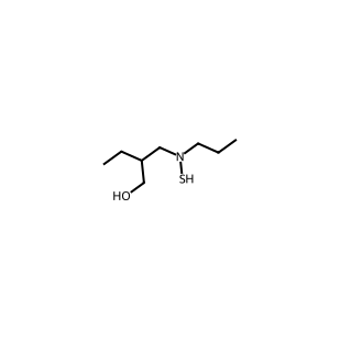 CCCN(S)CC(CC)CO